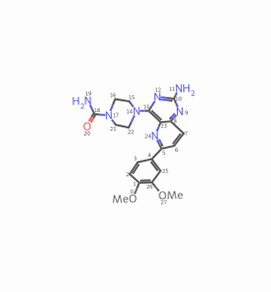 COc1ccc(-c2ccc3nc(N)nc(N4CCN(C(N)=O)CC4)c3n2)cc1OC